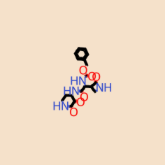 O=C(NC(C(=O)NC1CCNC(=O)C1=O)C1CNC1=O)OCc1ccccc1